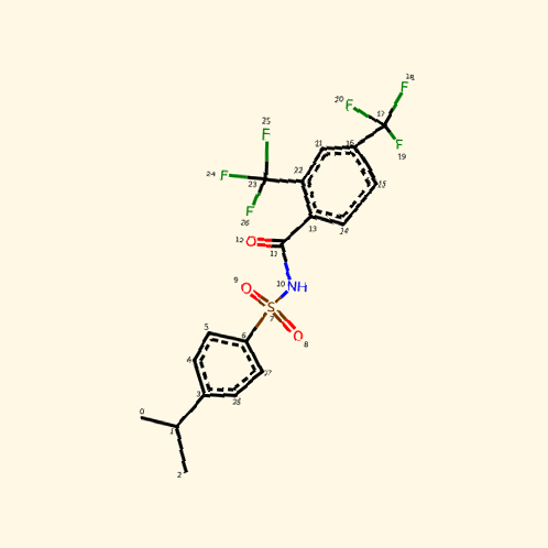 CC(C)c1ccc(S(=O)(=O)NC(=O)c2ccc(C(F)(F)F)cc2C(F)(F)F)cc1